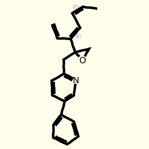 C=C/C(=C\C=C/C)C1(Cc2ccc(-c3ccccc3)cn2)CO1